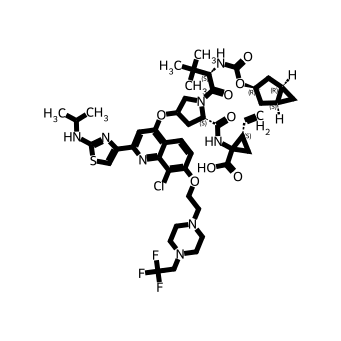 C=C[C@@H]1CC1(NC(=O)[C@@H]1CC(Oc2cc(-c3csc(NC(C)C)n3)nc3c(Cl)c(OCCN4CCN(CC(F)(F)F)CC4)ccc23)CN1C(=O)[C@@H](NC(=O)O[C@@H]1C[C@@H]2C[C@@H]2C1)C(C)(C)C)C(=O)O